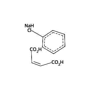 Clc1ccccc1.O=C(O)/C=C\C(=O)O.[NaH]